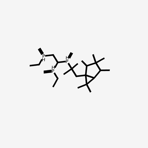 C=[PH](CC)CC([PH](=C)CC)[PH](=C)C(C)(C)CC12C(C)C(C)(C)C(C)C1C2(C)C